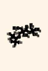 CCC(C)(COC(C(F)(F)F)C(F)(F)F)C(=O)OC(C)(C)C